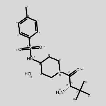 Cc1ccc(S(=O)(=O)NC2CCN(C(=O)[C@@H](N)C(C)(C)C)CC2)cc1.Cl